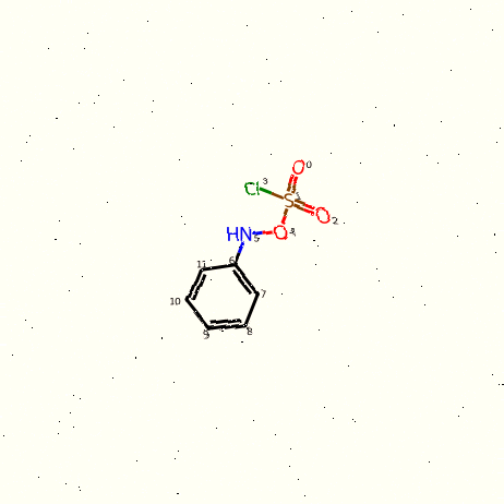 O=S(=O)(Cl)ONc1ccccc1